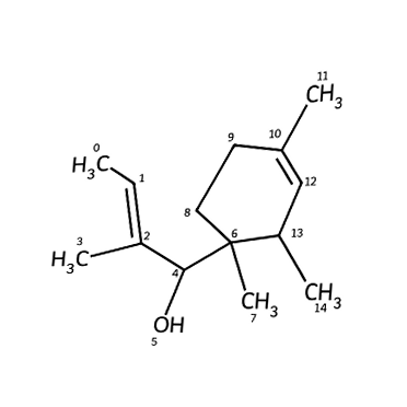 CC=C(C)C(O)C1(C)CCC(C)=CC1C